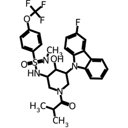 CN=S(=O)(NC1CN(C(=O)C(C)C)CC(n2c3ccccc3c3cc(F)ccc32)C1O)c1ccc(OC(F)(F)F)cc1